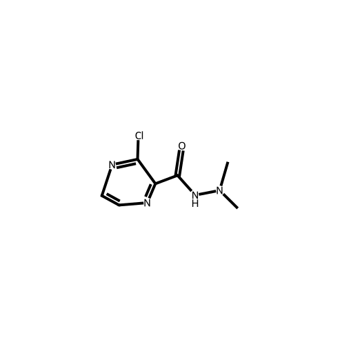 CN(C)NC(=O)c1nccnc1Cl